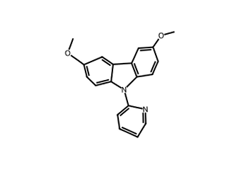 COc1ccc2c(c1)c1cc(OC)ccc1n2-c1ccccn1